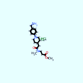 COC(=O)CCN(C)C(=O)CC1CCN(c2ccc(CN)cc2)CC1.Cl.Cl